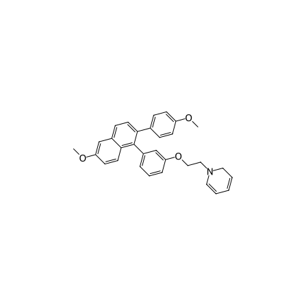 COc1ccc(-c2ccc3cc(OC)ccc3c2-c2cccc(OCCN3C=CC=CC3)c2)cc1